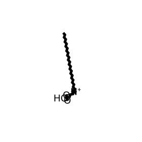 CCCCCCCCCCCCCCCCCCCCCCCCCC[N+](C)(C)CCCS(=O)(=O)O